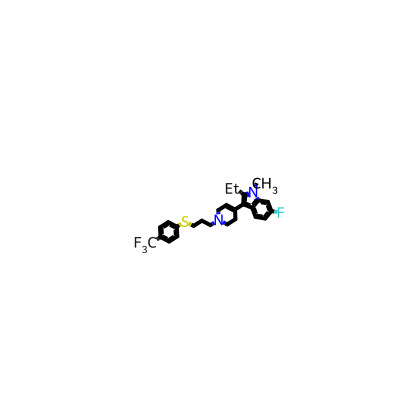 CCc1c(C2=CCN(CCCSc3ccc(C(F)(F)F)cc3)CC2)c2ccc(F)cc2n1C